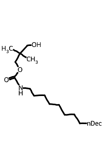 CCCCCCCCCCCCCCCCCCNC(=O)OCC(C)(C)CO